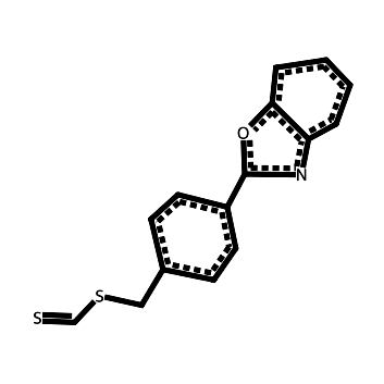 S=CSCc1ccc(-c2nc3ccccc3o2)cc1